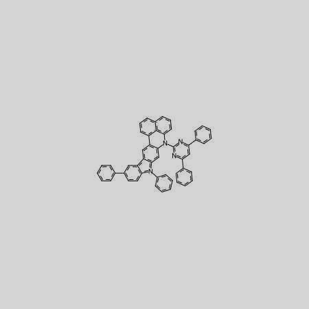 c1ccc(-c2ccc3c(c2)c2cc4c(cc2n3-c2ccccc2)N(c2nc(-c3ccccc3)cc(-c3ccccc3)n2)c2cccc3cccc-4c23)cc1